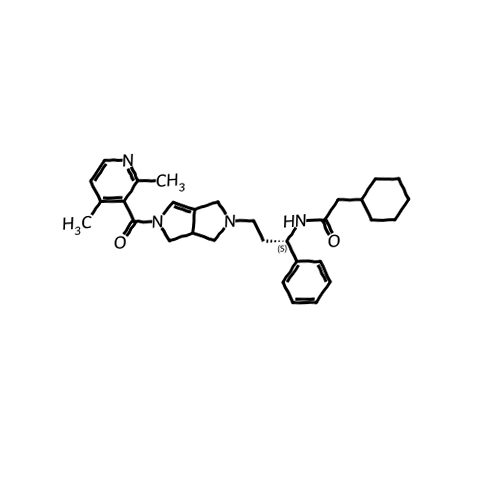 Cc1ccnc(C)c1C(=O)N1C=C2CN(CC[C@H](NC(=O)CC3CCCCC3)c3ccccc3)CC2C1